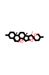 CC1CCC2(OC1)OC1CC3(O)C4CC=C5CC(C)CC[C@]5(C)C4CC[C@]3(C)C1[C@@H]2C